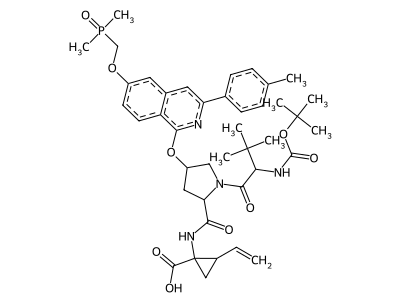 C=CC1CC1(NC(=O)C1CC(Oc2nc(-c3ccc(C)cc3)cc3cc(OCP(C)(C)=O)ccc23)CN1C(=O)C(NC(=O)OC(C)(C)C)C(C)(C)C)C(=O)O